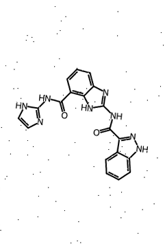 O=C(Nc1nc2cccc(C(=O)Nc3ncc[nH]3)c2[nH]1)c1n[nH]c2ccccc12